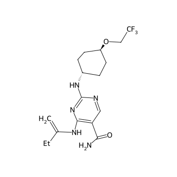 C=C(CC)Nc1nc(N[C@H]2CC[C@H](OCC(F)(F)F)CC2)ncc1C(N)=O